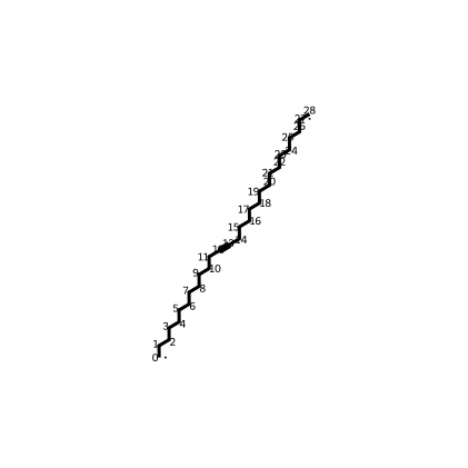 [CH2]CCCCCCCCCCCC#CCCCCCCCCCCCCCC[CH2]